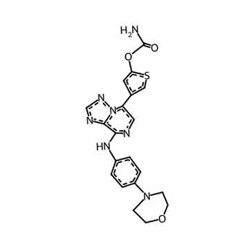 NC(=O)Oc1cc(-c2cnc(Nc3ccc(N4CCOCC4)cc3)c3ncnn23)cs1